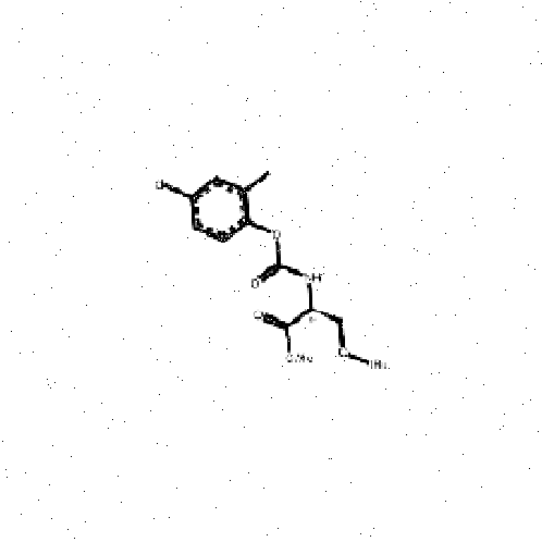 COC(=O)[C@H](COC(C)(C)C)NC(=O)Oc1ccc(Cl)cc1C